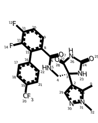 Cc1c([C@]2(CNC(=O)c3ccc(F)c(F)c3-c3ccc(C(F)(F)F)cc3)NC(=O)NC2=O)cnn1C